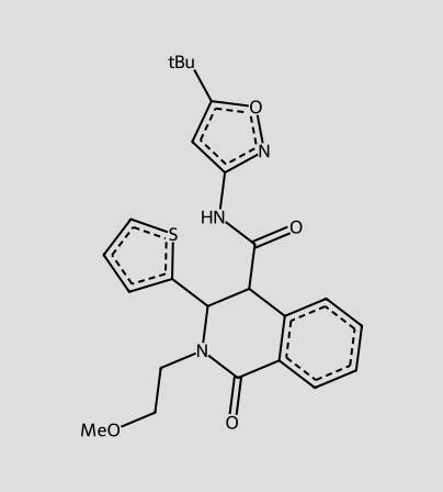 COCCN1C(=O)c2ccccc2C(C(=O)Nc2cc(C(C)(C)C)on2)C1c1cccs1